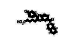 O=C(O)CCCCc1nc2cc(C(=O)N3CCc4ccccc4C3)ccc2nc1-c1ccc(Cl)cc1